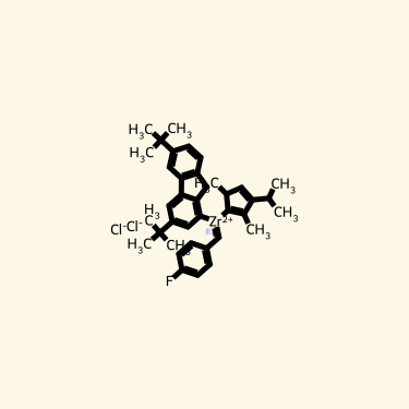 CC1=[C](/[Zr+2](=[CH]/c2ccc(F)cc2)[c]2cc(C(C)(C)C)cc3c2Cc2ccc(C(C)(C)C)cc2-3)C(C)C=C1C(C)C.[Cl-].[Cl-]